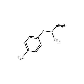 CCCCCCCC(C)Cc1ccc(C(F)(F)F)cc1